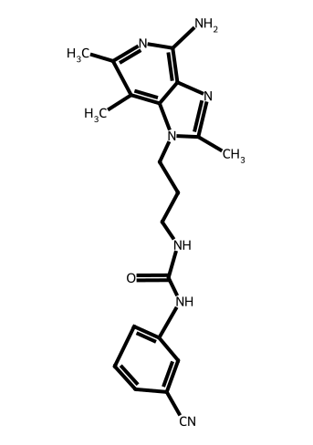 Cc1nc(N)c2nc(C)n(CCCNC(=O)Nc3cccc(C#N)c3)c2c1C